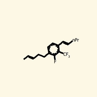 C/C=C/CCc1ccc(/C=C/CCC)c(C(F)(F)F)c1F